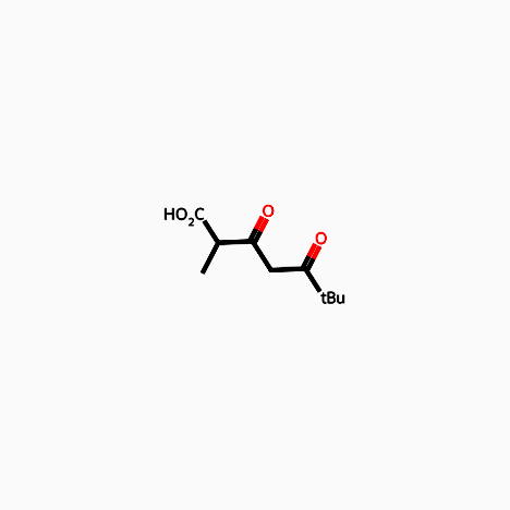 CC(C(=O)O)C(=O)CC(=O)C(C)(C)C